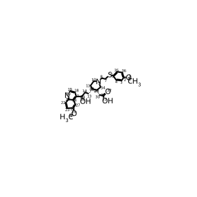 COc1ccc(SCCN2CC[C@@H](CC[C@H](O)c3ccnc4ccc(OC)cc34)[C@@H](CC(=O)O)C2)cc1